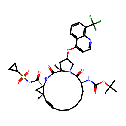 CC(C)(C)OC(=O)N[C@H]1CCCCCC=C[C@@H]2C[C@@]2(C(=O)NS(=O)(=O)C2CC2)NC(=O)[C@@H]2C[C@@H](Oc3ccnc4c(C(F)(F)F)cccc34)CN2C1=O